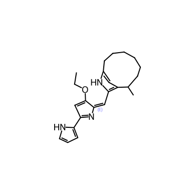 CCOC1=CC(c2ccc[nH]2)=N/C1=C/c1[nH]c2cc1C(C)CCCCCC2